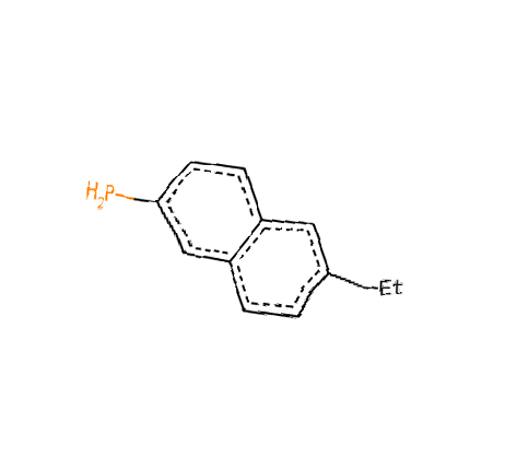 CCc1ccc2cc(P)ccc2c1